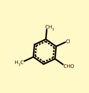 Cc1cc(C)c(Cl)c(C=O)c1